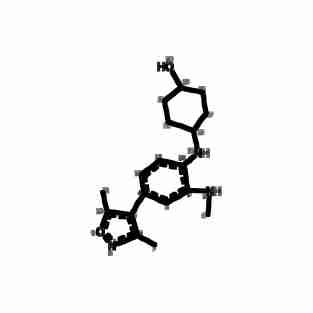 CNc1cc(-c2c(C)noc2C)ccc1NC1CCC(O)CC1